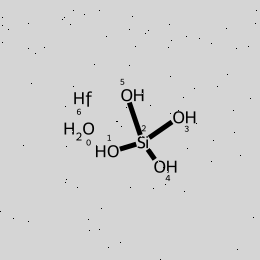 O.O[Si](O)(O)O.[Hf]